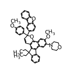 CCC1(CC)c2ccccc2-c2c1c1c(c3cc(OC)c(N4CCOCC4)cc23)OC(c2ccc(OC)cc2)(c2ccc3oc4ccccc4c3c2)C=C1